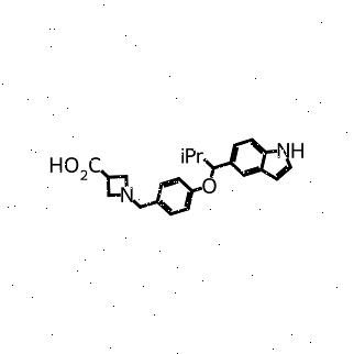 CC(C)C(Oc1ccc(CN2CC(C(=O)O)C2)cc1)c1ccc2[nH]ccc2c1